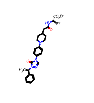 CCOC(=O)[C@@H](NC(=O)CC1CCN(c2ccc(-n3cnn(C(C)c4ccccc4)c3=O)cc2)CC1)C(C)C